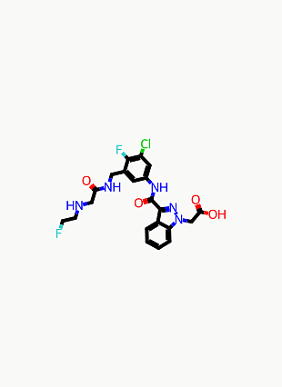 O=C(O)Cn1nc(C(=O)Nc2cc(Cl)c(F)c(CNC(=O)CNCCF)c2)c2ccccc21